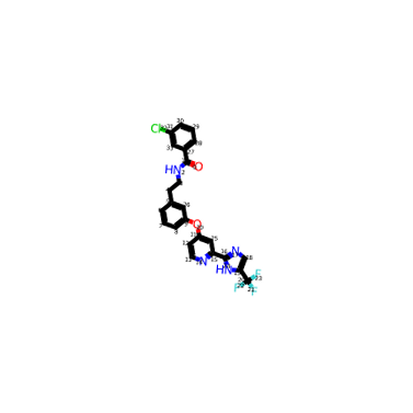 O=C(NCCc1cccc(Oc2ccnc(-c3ncc(C(F)(F)F)[nH]3)c2)c1)c1cccc(Cl)c1